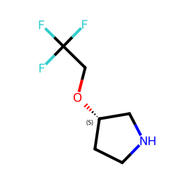 FC(F)(F)CO[C@H]1CCNC1